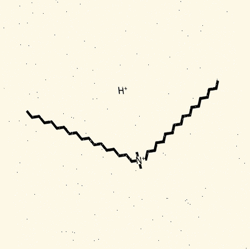 CCCCCCCCCCCCCCCCCC[N+](C)(C)CCCCCCCCCCCCCCCCCC.[H+]